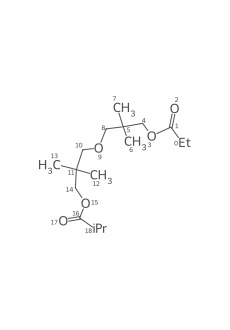 CCC(=O)OCC(C)(C)COCC(C)(C)COC(=O)C(C)C